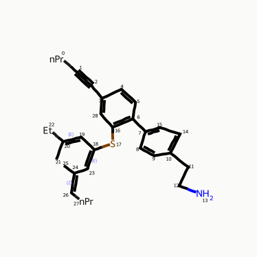 CCCC#Cc1ccc(-c2ccc(CCN)cc2)c(SC(/C=C(\C)CC)=C/C(C)=C\CCC)c1